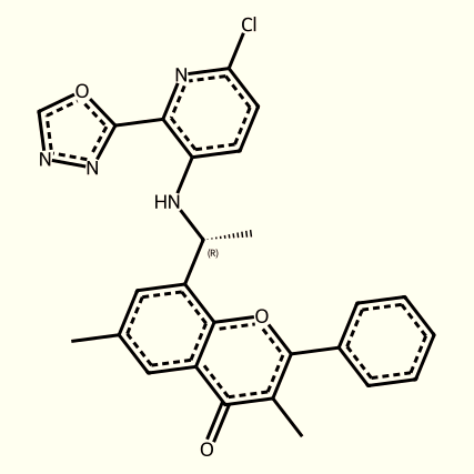 Cc1cc([C@@H](C)Nc2ccc(Cl)nc2-c2nnco2)c2oc(-c3ccccc3)c(C)c(=O)c2c1